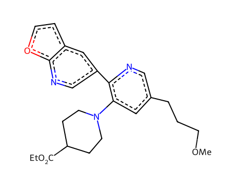 CCOC(=O)C1CCN(c2cc(CCCOC)cnc2-c2cnc3occc3c2)CC1